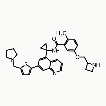 Cc1ccc(OCC2CCN2)cc1C(=O)NC1(c2cc(-c3ccc(CN4CCCC4)s3)cc3ncccc23)CC1